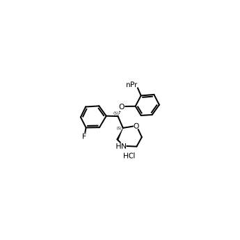 CCCc1ccccc1O[C@@H](c1cccc(F)c1)[C@@H]1CNCCO1.Cl